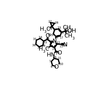 Cc1c(C(=O)NC2CCOCC2)c(C#N)n(C2=CC(C(C)(C)O)=CC(C3(C)CC3)C2)c1C(=O)C1CCCCC1